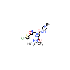 CC(C)N1CCC(NC(=O)c2cc(C(=O)NC(C(=O)O)C(F)(F)F)nn2Cc2cc(-c3ccc(Cl)s3)on2)CC1